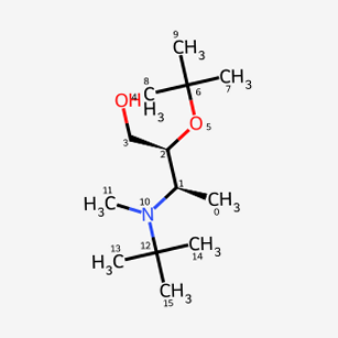 C[C@H]([C@@H](CO)OC(C)(C)C)N(C)C(C)(C)C